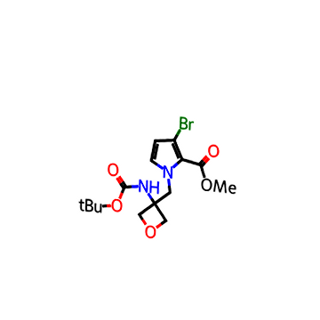 COC(=O)c1c(Br)ccn1CC1(NC(=O)OC(C)(C)C)COC1